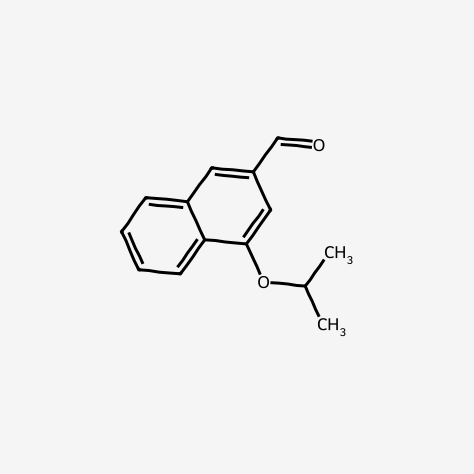 CC(C)Oc1cc(C=O)cc2ccccc12